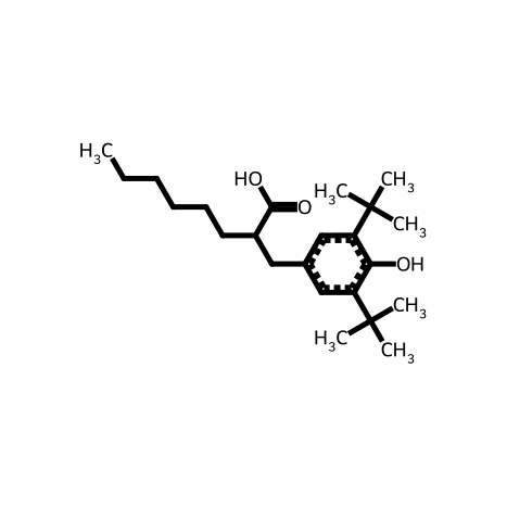 CCCCCCC(Cc1cc(C(C)(C)C)c(O)c(C(C)(C)C)c1)C(=O)O